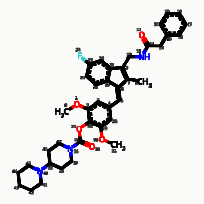 COc1cc(/C=C2/C(C)=C(CNC(=O)Cc3ccccc3)c3cc(F)ccc32)cc(OC)c1OC(=O)N1CCC(N2CCCCC2)CC1